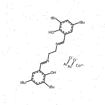 CC(=O)[O-].CC(=O)[O-].CC(C)(C)c1cc(C=NCCN=Cc2cc(C(C)(C)C)cc(C(C)(C)C)c2O)c(O)c(C(C)(C)C)c1.[Co+2]